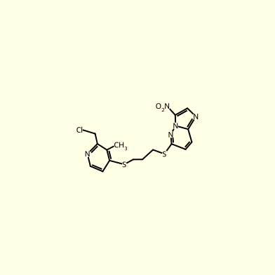 Cc1c(SCCCSc2ccc3ncc([N+](=O)[O-])n3n2)ccnc1CCl